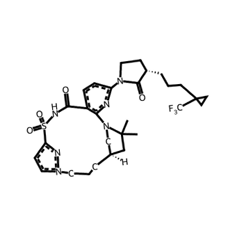 CC1(C)C[C@H]2CCCn3ccc(n3)S(=O)(=O)NC(=O)c3ccc(N4CC[C@H](CCCC5(C(F)(F)F)CC5)C4=O)nc3N1C2